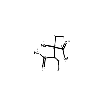 CCC(C(=O)O)C(S)(CC)C(=O)O